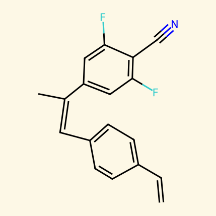 C=Cc1ccc(C=C(C)c2cc(F)c(C#N)c(F)c2)cc1